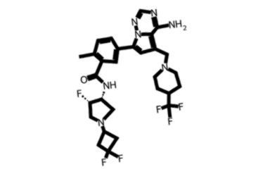 Cc1ccc(-c2cc(CN3CCC(C(F)(F)F)CC3)c3c(N)ncnn23)cc1C(=O)N[C@@H]1CN(C2CC(F)(F)C2)C[C@@H]1F